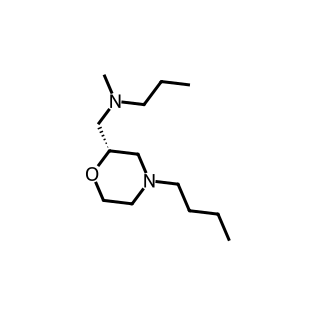 CCCCN1CCO[C@H](CN(C)CCC)C1